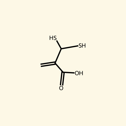 C=C(C(=O)O)C(S)S